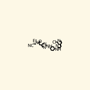 CCN(CCC#N)C(=O)Cc1cnc(NC[C@H]2CC[C@H](Nc3ccc4ccnc(Cl)c4n3)CC2)nc1